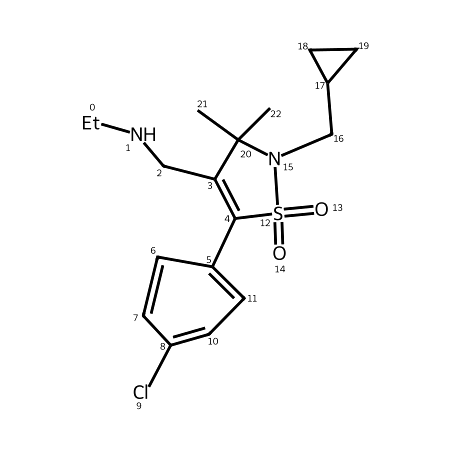 CCNCC1=C(c2ccc(Cl)cc2)S(=O)(=O)N(CC2CC2)C1(C)C